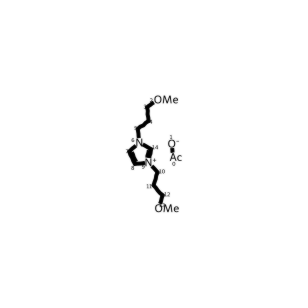 CC(=O)[O-].COCCCn1cc[n+](CCCOC)c1